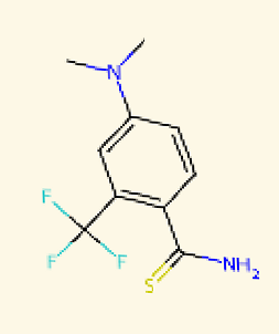 CN(C)c1ccc(C(N)=S)c(C(F)(F)F)c1